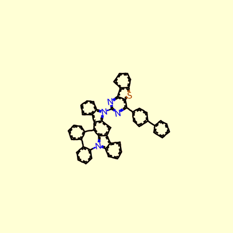 c1ccc(-c2ccc(-c3nc(-n4c5ccccc5c5c6c7c(cc54)c4ccccc4n7-c4ccccc4-c4ccccc4-6)nc4c3sc3ccccc34)cc2)cc1